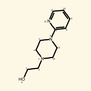 OCCN1CCN(c2c[c]ccn2)CC1